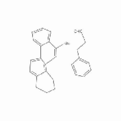 CCCCc1cc2c3c(ccc2c2ccccc12)CCCC3.O=CCCc1ccccc1